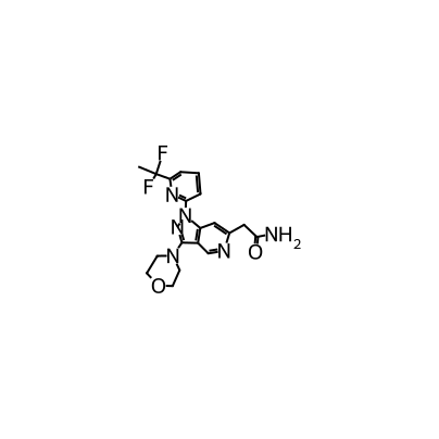 CC(F)(F)c1cccc(-n2nc(N3CCOCC3)c3cnc(CC(N)=O)cc32)n1